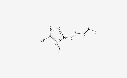 CCCCCn1cnc(I)c1I